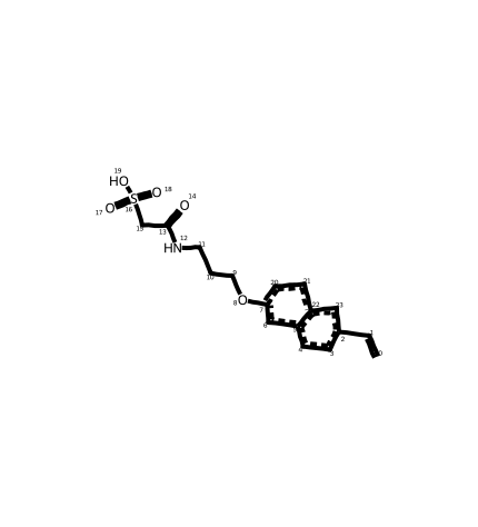 C=Cc1ccc2cc(OCCCNC(=O)CS(=O)(=O)O)ccc2c1